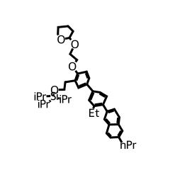 CCCc1ccc2cc(-c3ccc(-c4ccc(OCCOC5CCCCO5)c(CCO[Si](C(C)C)(C(C)C)C(C)C)c4)cc3CC)ccc2c1